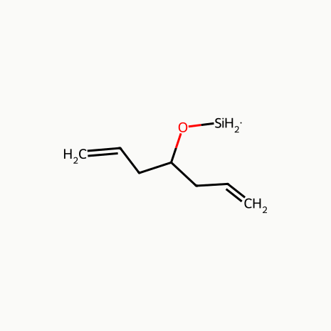 C=CCC(CC=C)O[SiH2]